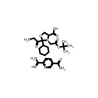 CC(C)(C)OC(=O)CN1C(C(=O)O)COC1(C(=O)CN)C1CCCCC1.N=C(N)c1ccc(C(N)=O)cn1